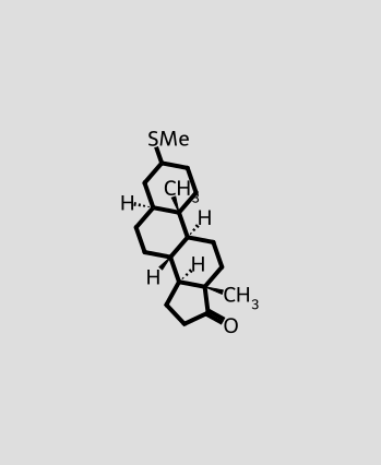 CSC1CC[C@@]2(C)[C@@H](CC[C@@H]3[C@@H]2CC[C@]2(C)C(=O)CC[C@@H]32)C1